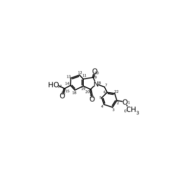 COc1cccc(CN2C(=O)c3ccc(C(=O)O)cc3C2=O)c1